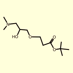 CN(C)CC(O)COCCC(=O)OC(C)(C)C